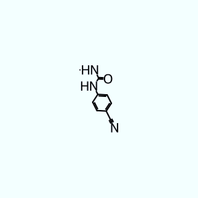 N#Cc1ccc(NC([NH])=O)cc1